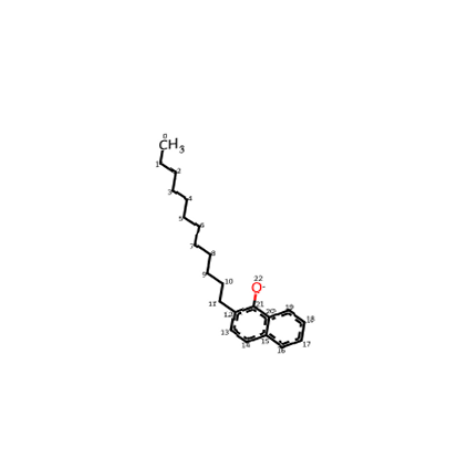 CCCCCCCCCCCCc1ccc2ccccc2c1[O]